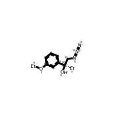 CCOc1cccc([C@@](O)(CC)CN=[N+]=[N-])c1